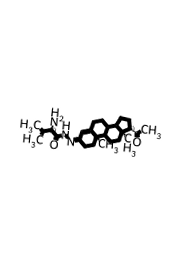 CC(=O)[C@H]1CCC2C3CCC4=CC(=NNC(=O)[C@@H](N)C(C)C)CC[C@]4(C)C3CC[C@@]21C